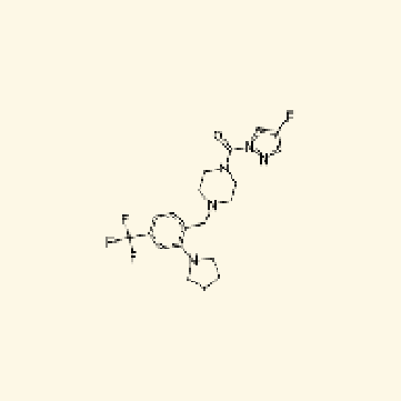 O=C(N1CCN(Cc2ccc(C(F)(F)F)cc2N2CCCC2)CC1)n1cc(F)cn1